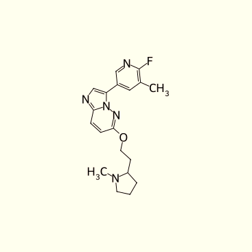 Cc1cc(-c2cnc3ccc(OCCC4CCCN4C)nn23)cnc1F